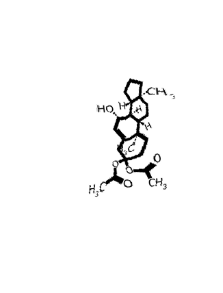 CC(=O)OC1(OC(C)=O)CC[C@@]2(C)C(=C[C@H](O)[C@H]3[C@@H]4CCC[C@@]4(C)CC[C@@H]32)C1